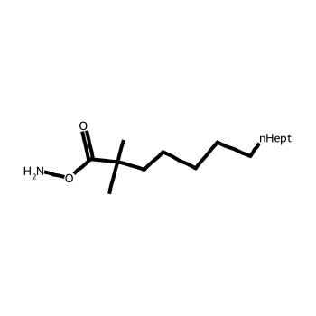 CCCCCCCCCCCCC(C)(C)C(=O)ON